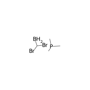 BC(Br)Br.CP(C)C